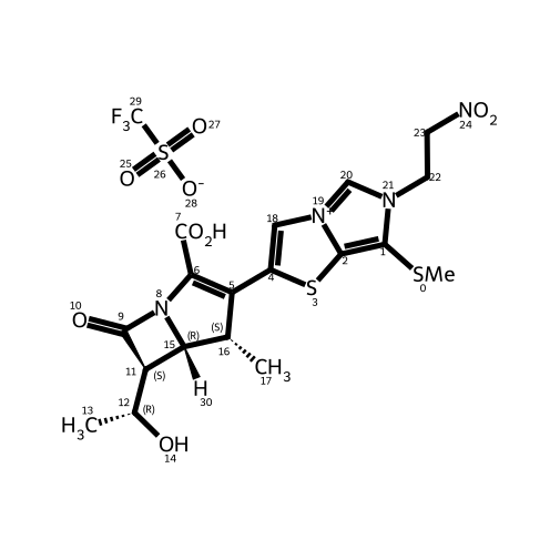 CSc1c2sc(C3=C(C(=O)O)N4C(=O)[C@H]([C@@H](C)O)[C@H]4[C@H]3C)c[n+]2cn1CC[N+](=O)[O-].O=S(=O)([O-])C(F)(F)F